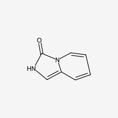 O=c1[nH]cc2ccccn12